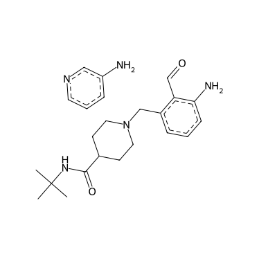 CC(C)(C)NC(=O)C1CCN(Cc2cccc(N)c2C=O)CC1.Nc1cccnc1